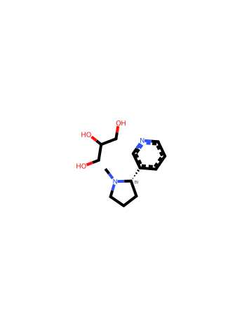 CN1CCC[C@H]1c1cccnc1.OCC(O)CO